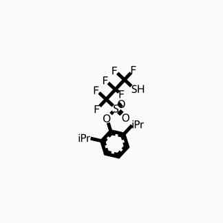 CC(C)c1cccc(C(C)C)c1OS(=O)(=O)C(F)(F)C(F)(F)C(F)(F)S